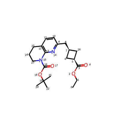 CCOC(=O)[C@H]1C[C@@H](Cc2ccc3c(n2)N(C(=O)OC(C)(C)C)CCC3)C1